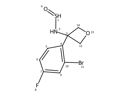 O=[SH]NC1(c2ccc(F)cc2Br)COC1